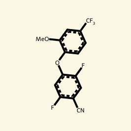 COc1cc(C(F)(F)F)ccc1Oc1cc(F)c(C#N)cc1F